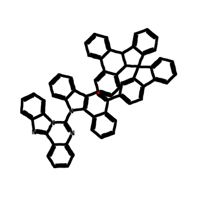 c1ccc2c(c1)-c1ccccc1C1C2c2ccccc2C12c1ccccc1-c1ccc(-c3cc4c5ccccc5n(-c5nc6ccccc6c6nc7ccccc7n56)c4c4ccccc34)cc12